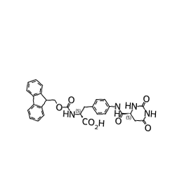 O=C1C[C@@H](C(=O)Nc2ccc(C[C@H](NC(=O)OCC3c4ccccc4-c4ccccc43)C(=O)O)cc2)NC(=O)N1